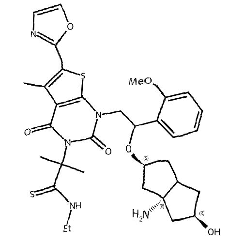 CCNC(=S)C(C)(C)n1c(=O)c2c(C)c(-c3ncco3)sc2n(CC(O[C@H]2CC3C[C@@H](O)C[C@@]3(N)C2)c2ccccc2OC)c1=O